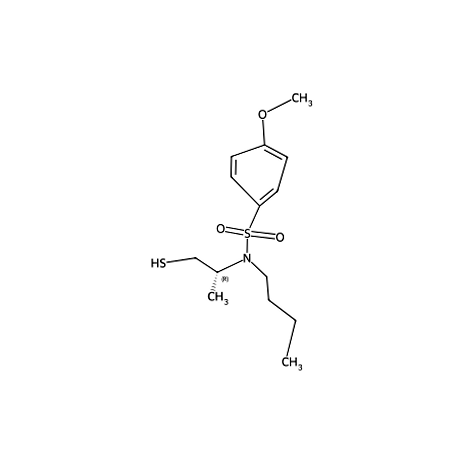 CCCCN([C@H](C)CS)S(=O)(=O)c1ccc(OC)cc1